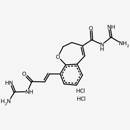 Cl.Cl.N=C(N)NC(=O)/C=C/c1cccc2c1OCCC(C(=O)NC(=N)N)=C2